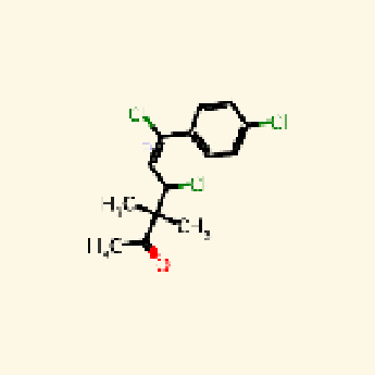 CC(=O)C(C)(C)C(Cl)/C=C(/Cl)c1ccc(Cl)cc1